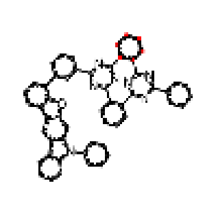 c1ccc(-c2nc(-c3ccccc3)nc(-c3ccccc3-c3nc(-c4ccccc4)nc(-c4cccc(-c5cccc6c5oc5cc7c(cc56)c5ccccc5n7-c5ccccc5)c4)n3)n2)cc1